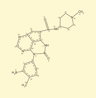 Bc1cc(N2C(=O)Nc3c(C(=O)NC4CCN(C)CC4)sc4ncnc2c34)ccc1C